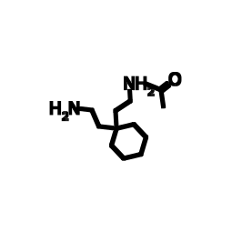 CC(C)=O.NCCC1(CCN)CCCCC1